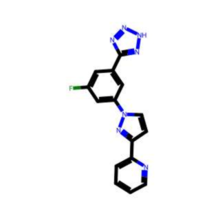 Fc1cc(-c2nn[nH]n2)cc(-n2ccc(-c3ccccn3)n2)c1